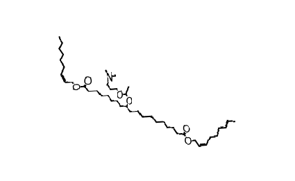 CCCCCC/C=C\COC(=O)CCCCCCCCCC(CCCCCCCC(=O)OC/C=C\CCCCCC)OC(C)OCCCN(C)C